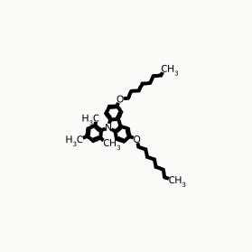 CCCCCCCCOc1ccc2c(c1)c1cc(OCCCCCCCC)ccc1n2-c1c(C)cc(C)cc1C